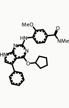 CNC(=O)c1ccc(Nc2nc(OC3CCCC3)c3c(-c4ccccc4)c[nH]c3n2)c(OC)c1